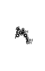 O=C(Nc1ccc(I)cc1F)[C@H](Cc1cccs1)N1C(=O)N[C@H](c2ccc(OC[C@@H](O)CO)cc2)C1=O